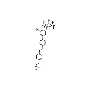 CCCc1ccc(CCc2ccc(-c3ccc(OC(F)(F)C(F)C(F)(F)F)c(F)c3)cc2)cc1